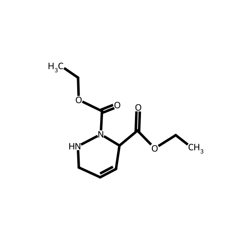 CCOC(=O)C1C=CCNN1C(=O)OCC